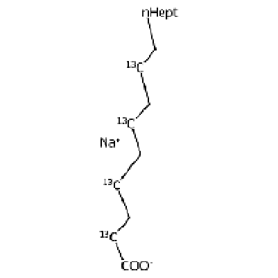 [13CH3]C[13CH2]C[13CH2]C[13CH2]C[13CH2]C[13CH2]C[13CH2]C[13CH2]C(=O)[O-].[Na+]